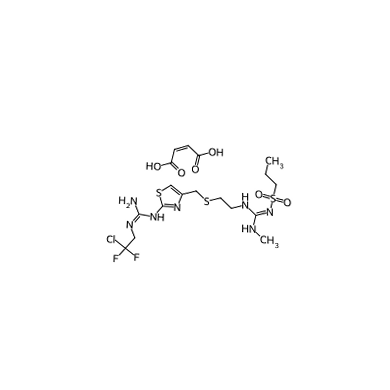 CCCS(=O)(=O)/N=C(/NC)NCCSCc1csc(N/C(N)=N\CC(F)(F)Cl)n1.O=C(O)/C=C\C(=O)O